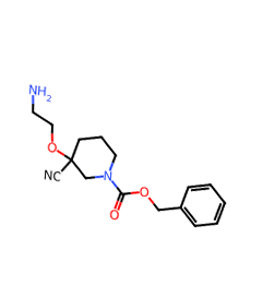 N#CC1(OCCN)CCCN(C(=O)OCc2ccccc2)C1